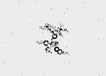 COC(=O)[C@H]1CC(C)=CCN1C(=O)[C@H](CC1=CCCN(C(=NC(=O)OC(C)(C)C)NC(=O)OC(C)(C)C)C1)NS(=O)(=O)c1ccc2c(c1)CN(C)CC2